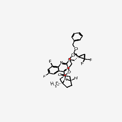 CCCCOC(=O)N1[C@H]2CC[C@@]1(C)CN(c1nc(OC[C@]3(COCc4ccccc4)CC3(F)F)nc3c(F)cc(F)cc13)C2